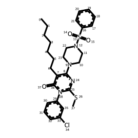 CCCCCCCc1c(N2CCN(S(=O)(=O)c3ccccc3)CC2)nc(SC)n(-c2cccc(Cl)c2)c1=O